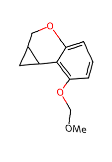 COCOc1cccc2c1C1CC1CO2